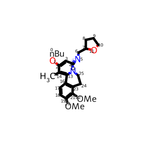 CCCCOc1c/c(=N\CC2CCCO2)n2c(c1C)-c1ccc(OC)c(OC)c1CC2